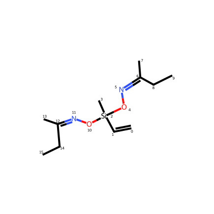 C=C[Si](C)(ON=C(C)CC)ON=C(C)CC